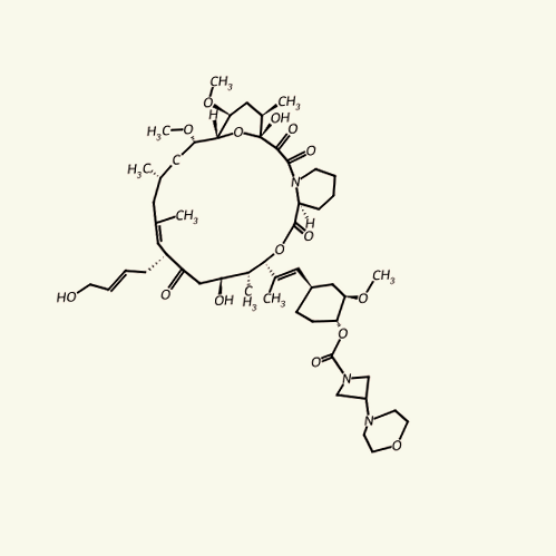 CO[C@H]1C[C@@H](C)C/C(C)=C/[C@@H](C/C=C/CO)C(=O)C[C@H](O)[C@@H](C)[C@@H](/C(C)=C/[C@@H]2CC[C@@H](OC(=O)N3CC(N4CCOCC4)C3)[C@H](OC)C2)OC(=O)[C@@H]2CCCCN2C(=O)C(=O)[C@]2(O)O[C@H]1[C@@H](OC)C[C@H]2C